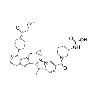 COCC(=O)N1CCC(c2nccc3cc(-c4nn5cc(C(=O)N6CCCC(NC(=O)O)C6)ccc5c4C)n(CC4CC4)c23)CC1